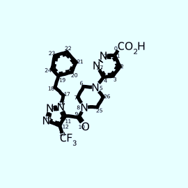 O=C(O)c1ccc(N2CCN(C(=O)c3c(C(F)(F)F)nnn3CCc3ccccc3)CC2)nn1